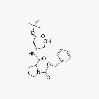 CC(C)(C)OC(=O)C[C@@H](CO)NC(=O)C1CCCN1C(=O)OCc1ccccc1